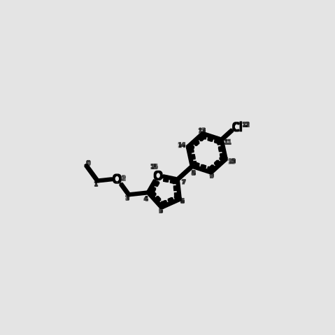 CCOCc1ccc(-c2ccc(Cl)cc2)o1